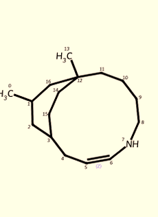 CC1CC2C/C=C\NCCCCC(C)(CC2)C1